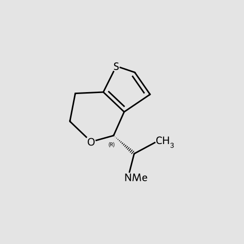 CNC(C)[C@@H]1OCCc2sccc21